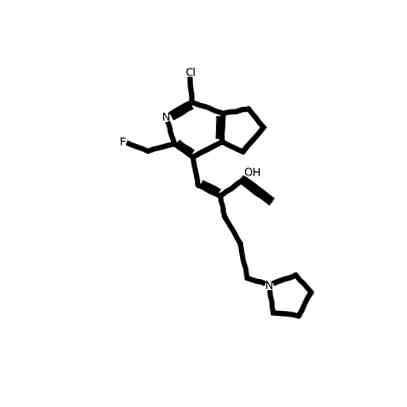 C=C(O)/C(=C\c1c(CF)nc(Cl)c2c1CCC2)CCCN1CCCC1